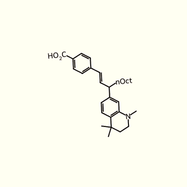 CCCCCCCCC(/C=C/c1ccc(C(=O)O)cc1)c1ccc2c(c1)N(C)CCC2(C)C